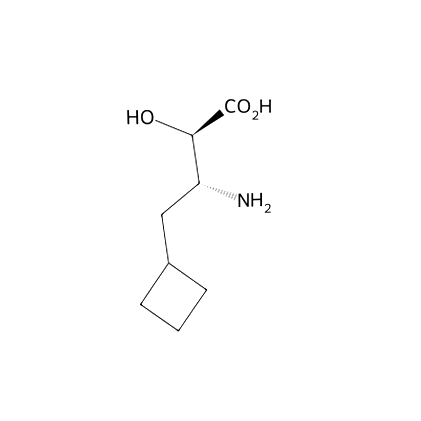 N[C@H](CC1CCC1)[C@@H](O)C(=O)O